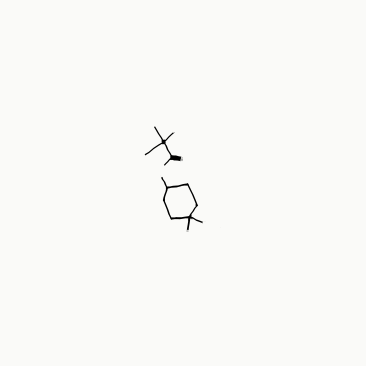 CCC(C)(C)C(=O)OC1CCC(O)(C(C)(C)C)CC1